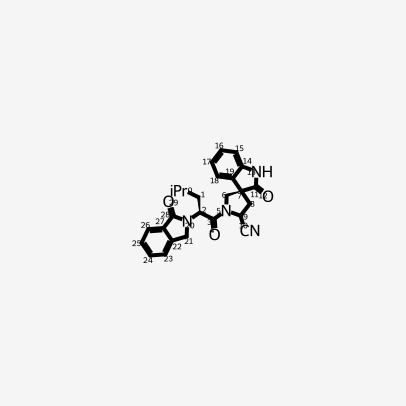 CC(C)C[C@@H](C(=O)N1C[C@]2(CC1C#N)C(=O)Nc1ccccc12)N1Cc2ccccc2C1=O